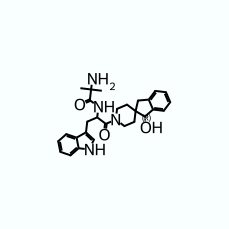 CC(C)(N)C(=O)NC(Cc1c[nH]c2ccccc12)C(=O)N1CCC2(CC1)Cc1ccccc1[C@@H]2O